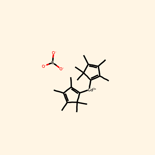 CC1=C(C)C(C)(C)[C]([Gd+3][C]2=C(C)C(C)=C(C)C2(C)C)=C1C.[O-]B([O-])[O-]